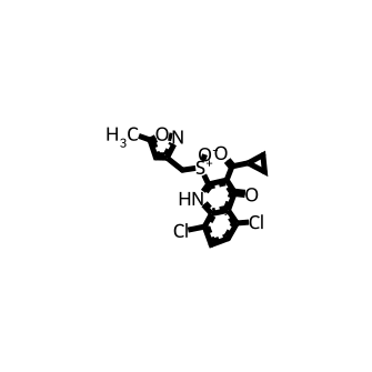 Cc1cc(C[S+]([O-])c2[nH]c3c(Cl)ccc(Cl)c3c(=O)c2C(=O)C2CC2)no1